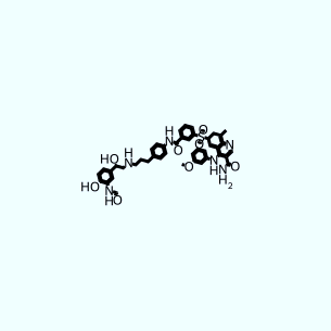 COc1cccc(Nc2c(C(N)=O)cnc3c2=CC(S(=O)(=O)c2cccc(C(=O)Nc4ccc(CCCNC[C@H](O)c5ccc(O)c(NC=O)c5)cc4)c2)CC=3C)c1